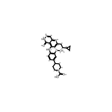 COc1cc(C2CCN(C(=O)O)CC2)ccc1Nc1cc(CCC2CC2)nc2cn[nH]c(=O)c12